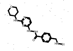 CCNCc1ccc(C(=O)NNc2ccnc(NC3CCOCC3)n2)cc1